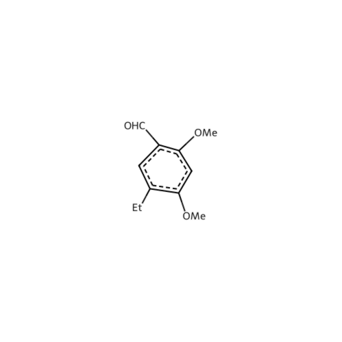 CCc1cc(C=O)c(OC)cc1OC